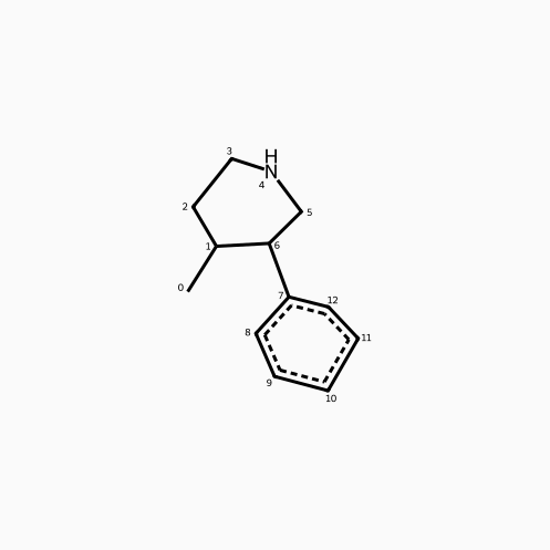 CC1CCNCC1c1ccccc1